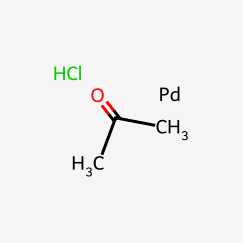 CC(C)=O.Cl.[Pd]